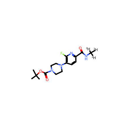 [2H]C([2H])([2H])NC(=O)c1ccc(N2CCN(C(=O)OC(C)(C)C)CC2)c(F)n1